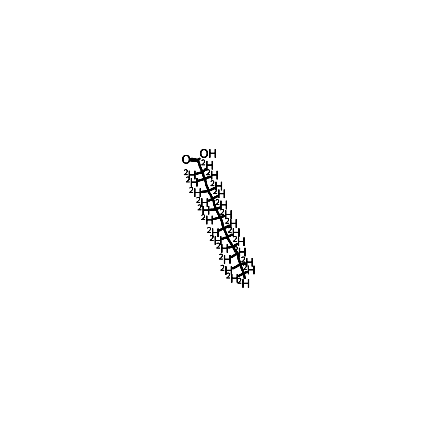 [2H]C([2H])([2H])C([2H])([2H])C([2H])([2H])C([2H])([2H])C([2H])([2H])C([2H])([2H])C([2H])([2H])C([2H])([2H])C([2H])([2H])C([2H])([2H])C([2H])([2H])C([2H])([2H])C(=O)O